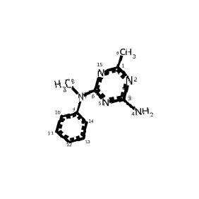 Cc1nc(N)nc(N(C)c2ccccc2)n1